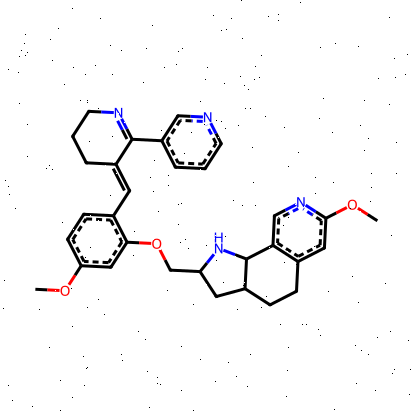 COc1ccc(/C=C2\CCCN=C2c2cccnc2)c(OCC2CC3CCc4cc(OC)ncc4C3N2)c1